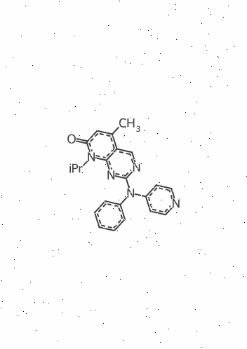 Cc1cc(=O)n(C(C)C)c2nc(N(c3ccccc3)c3ccncc3)ncc12